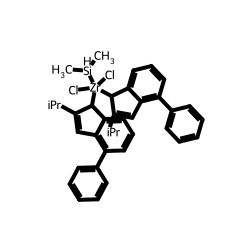 CC(C)C1=Cc2c(-c3ccccc3)cccc2[CH]1[Zr]([Cl])([Cl])([CH]1C(C(C)C)=Cc2c(-c3ccccc3)cccc21)[SiH](C)C